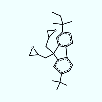 CCC(C)(C)c1ccc2c(c1)C(CC1CO1)(CC1CO1)c1cc(C(C)(C)C)ccc1-2